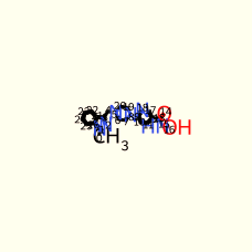 Cn1nc(CN2CCN(c3ccc(C(=O)NO)cn3)CC2)c2ccccc21